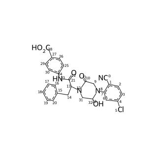 N#Cc1ccc(Cl)cc1N1CC(=O)N(C(Cc2ccccc2)C(=O)Nc2ccc(C(=O)O)cc2)CC1O